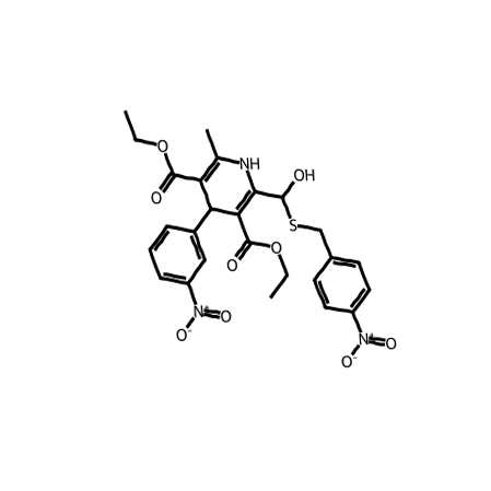 CCOC(=O)C1=C(C)NC(C(O)SCc2ccc([N+](=O)[O-])cc2)=C(C(=O)OCC)C1c1cccc([N+](=O)[O-])c1